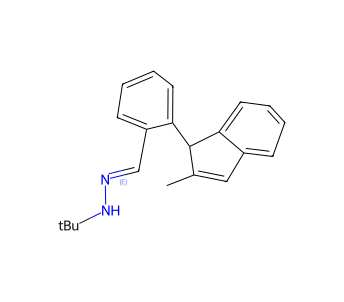 CC1=Cc2ccccc2C1c1ccccc1/C=N/NC(C)(C)C